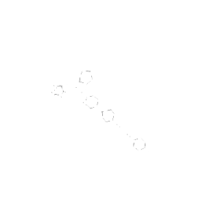 O=Cc1ccc(N2CCN(c3ccc(-c4ccc(C(F)(F)C(O)(Cn5cnnn5)c5ccc(F)cc5F)nc4)cc3)CC2)cc1